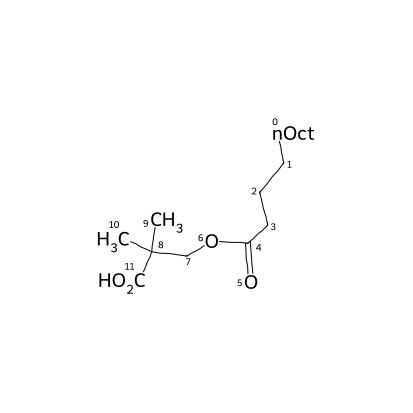 CCCCCCCCCCCC(=O)OCC(C)(C)C(=O)O